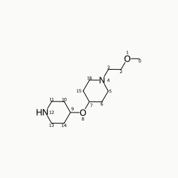 COCCN1CCC(OC2CCNCC2)CC1